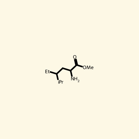 CCC(CC(N)C(=O)OC)C(C)C